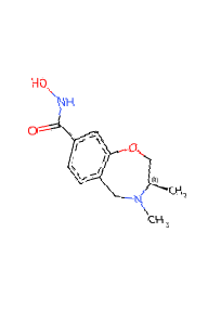 C[C@@H]1COc2cc(C(=O)NO)ccc2CN1C